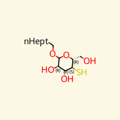 CCCCCCCCOC1O[C@H](CO)[C@@H](S)[C@H](O)[C@H]1O